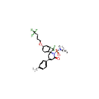 Cc1ccc(C2=CC(=O)N(S(=O)(=O)N(C)C)C(c3ccc(OCCCC(F)(F)F)cc3)(C(F)(F)F)C2)cc1